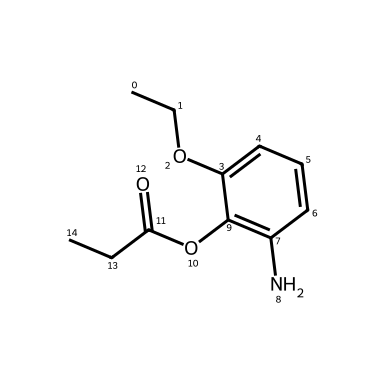 CCOc1cccc(N)c1OC(=O)CC